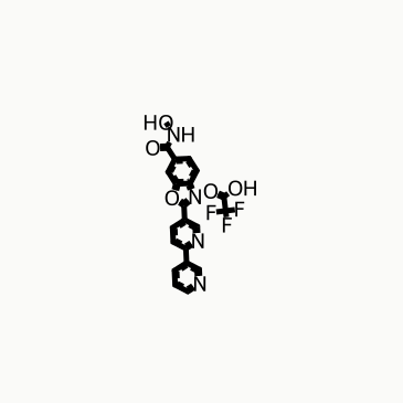 O=C(NO)c1ccc2nc(-c3ccc(-c4cccnc4)nc3)oc2c1.O=C(O)C(F)(F)F